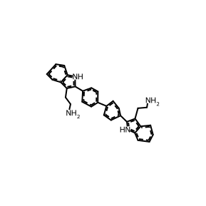 NCCc1c(-c2ccc(-c3ccc(-c4[nH]c5ccccc5c4CCN)cc3)cc2)[nH]c2ccccc12